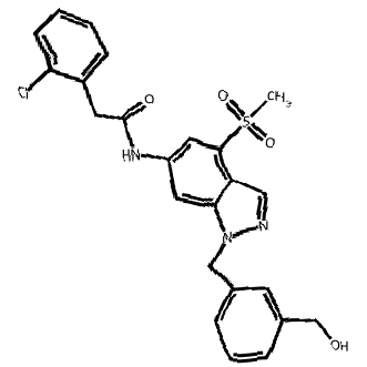 CS(=O)(=O)c1cc(NC(=O)Cc2ccccc2Cl)cc2c1cnn2Cc1cccc(CO)c1